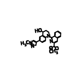 COC(=O)c1cc2ccccc2c(N2CCC(O)c3cc(-c4cnn(C)c4)ccc32)n1